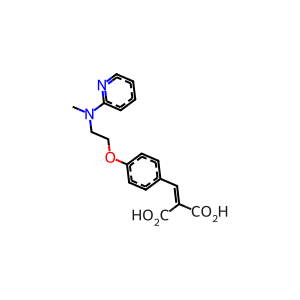 CN(CCOc1ccc(C=C(C(=O)O)C(=O)O)cc1)c1ccccn1